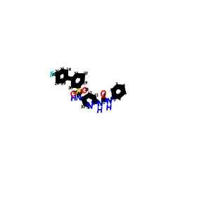 O=C(Nc1ccccc1)Nc1ccc(NS(=O)(=O)c2cccc(-c3ccc(F)cc3)c2)cn1